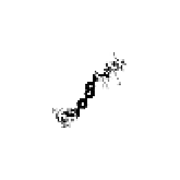 CC(C)(C)OC(=O)N[C@H](c1ncc(-c2ccc3cc(-c4ccc(-c5cnc(C(NC(=O)O)C(C)(C)C)[nH]5)cc4)ccc3c2)[nH]1)C(C)(C)C